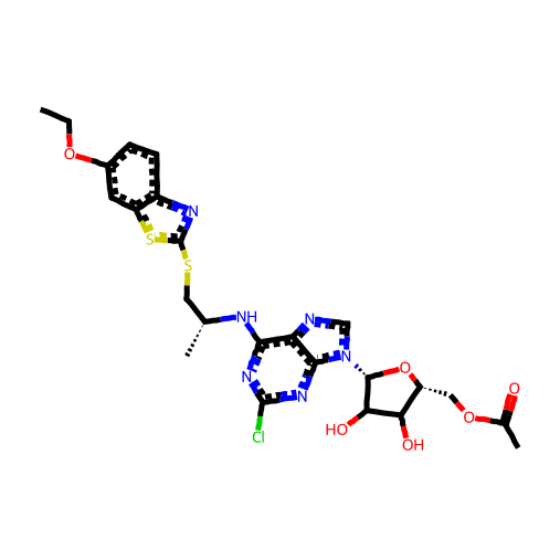 CCOc1ccc2nc(SC[C@@H](C)Nc3nc(Cl)nc4c3ncn4[C@@H]3O[C@H](COC(C)=O)C(O)C3O)sc2c1